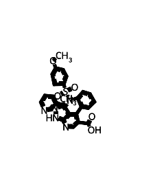 COc1ccc(S(=O)(=O)N(Cc2cccnc2)c2ccccc2-c2c(C(=O)O)cnc3[nH]nc(C)c23)cc1